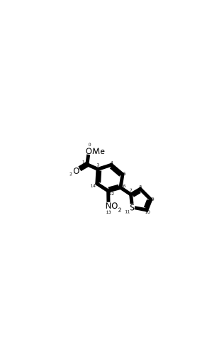 COC(=O)c1ccc(-c2cccs2)c([N+](=O)[O-])c1